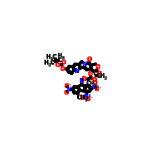 CC[C@@]1(OC(=O)[C@@H](C)O/N=C2/c3cc([N+](=O)[O-])cc(C)c3-c3c2cc([N+](=O)[O-])cc3[N+](=O)[O-])C(=O)OCc2c1cc1n(c2=O)Cc2cc3cc(OC(=O)OC(C)(C)C)ccc3nc2-1